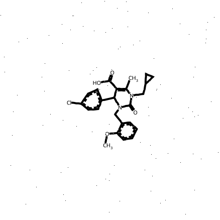 COc1ccccc1CN1C(=O)N(CC2CC2)C(C)=C(C(=O)O)C1c1ccc(Cl)cc1